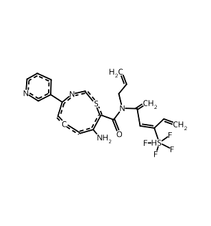 C=CCN(C(=C)/C=C(\C=C)[SH](F)(F)(F)F)C(=O)c1scnc(-c2cccnc2)cccc1N